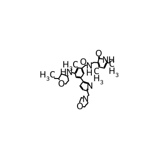 CCC1CC(Nc2cc(-c3ccc(CN4CCOCC4)nc3)cc(C(=O)NCc3c(C)cc(C)[nH]c3=O)c2C)CCO1